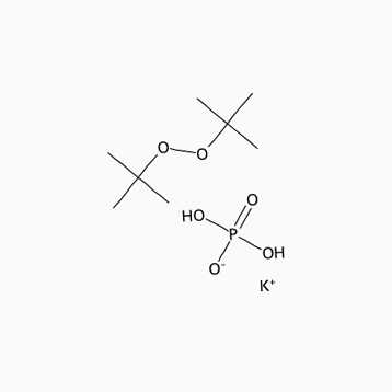 CC(C)(C)OOC(C)(C)C.O=P([O-])(O)O.[K+]